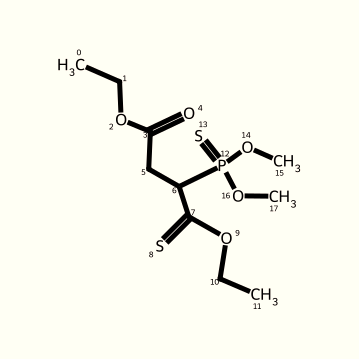 CCOC(=O)CC(C(=S)OCC)P(=S)(OC)OC